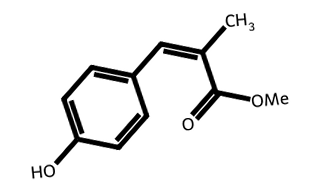 COC(=O)C(C)=Cc1ccc(O)cc1